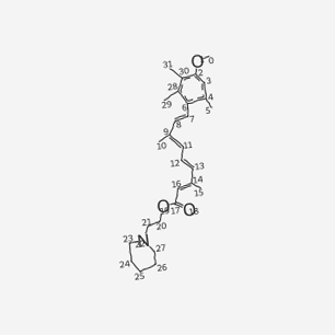 COc1cc(C)c(C=CC(C)=CC=CC(C)=CC(=O)OCCN2CCCCC2)c(C)c1C